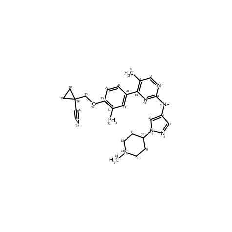 Cc1cnc(Nc2cnn(C3CCN(C)CC3)c2)nc1-c1ccc(OCC2(C#N)CC2)c(P)c1